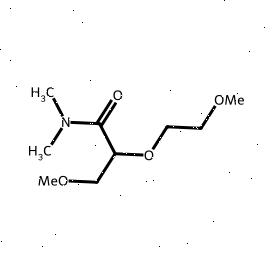 COCCOC(COC)C(=O)N(C)C